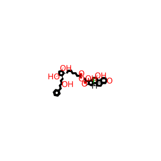 C[C@@H]1C[C@H]2[C@@H]3CCC4=CC(=O)C=C[C@]4(C)[C@@]3(F)[C@@H](O)C[C@]2(C)[C@@]1(O)C(=O)COC(=O)CCC/C=C\C[C@@H]1[C@@H](CC[C@@H](O)CCc2ccccc2)[C@H](O)C[C@@H]1O